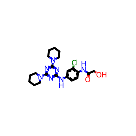 O=C(CO)Nc1ccc(Nc2nc(N3CCCCC3)nc(N3CCCCC3)n2)cc1Cl